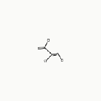 C=C(Cl)C(Cl)=CCl